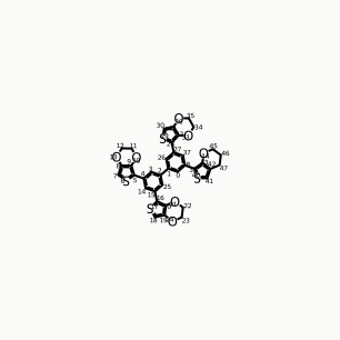 c1c(-c2cc(-c3scc4c3OCCO4)cc(-c3scc4c3OCCO4)c2)cc(-c2scc3c2OCCO3)cc1-c1scc2c1OCCC2